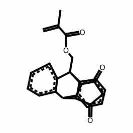 C=C(C)C(=O)OCC12c3ccccc3C(c3ccccc31)C1C(=O)CC(=O)C12